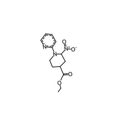 CCOC(=O)C1CCN(c2ccccn2)C([N+](=O)[O-])C1